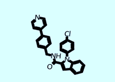 O=C(NCc1ccc(-c2ccncc2)cc1)c1cc2ccccc2n1-c1ccc(Cl)cc1